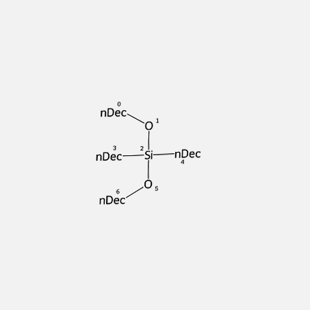 CCCCCCCCCCO[Si](CCCCCCCCCC)(CCCCCCCCCC)OCCCCCCCCCC